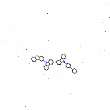 c1ccc(-c2ccc(-n3c4ccccc4c4cc(-c5ccc6c(c5)c5ccccc5n6-c5ccc6c(c5)-c5ccccc5C6)ccc43)cc2)cc1